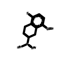 CCCN(CCC)C1CCc2c(F)ccc(OC)c2C1